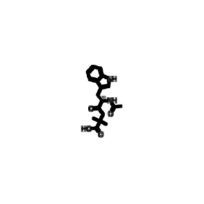 CC(=O)N[C@H](Cc1c[nH]c2ccccc12)C(=O)CC(C)(C)C(=O)O